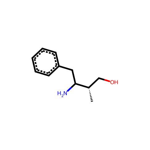 C[C@@H](CO)C(N)Cc1ccccc1